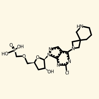 O=P(O)(O)COC[C@@H]1C[C@@H](O)[C@H](n2ncc3c(N4CC5(CCCNC5)C4)nc(Cl)nc32)O1